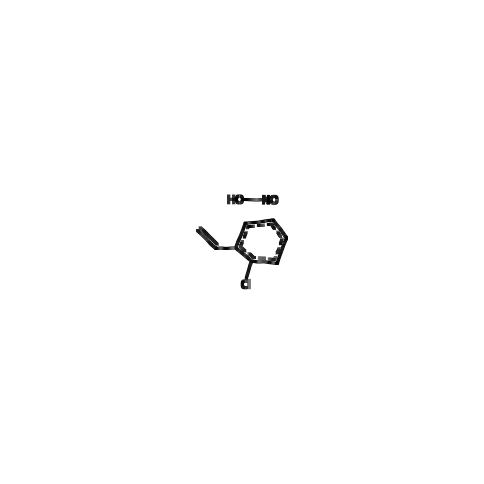 C=Cc1ccccc1Cl.O=NO